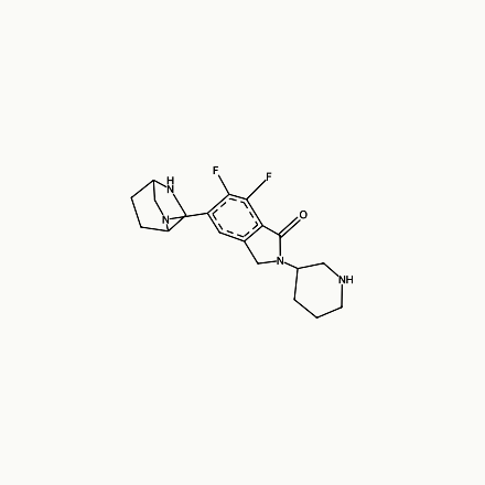 O=C1c2c(cc(N3CC4CCC3CN4)c(F)c2F)CN1C1CCCNC1